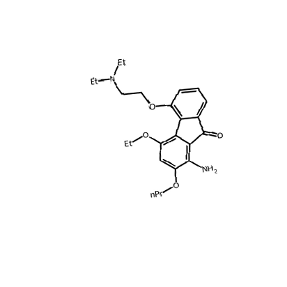 CCCOc1cc(OCC)c2c(c1N)C(=O)c1cccc(OCCN(CC)CC)c1-2